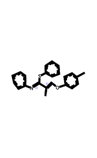 CC(=C\Oc1ccc(C)cc1)/C(=N/c1ccccc1)Sc1ccccc1